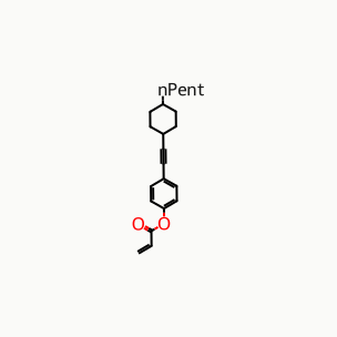 C=CC(=O)Oc1ccc(C#CC2CCC(CCCCC)CC2)cc1